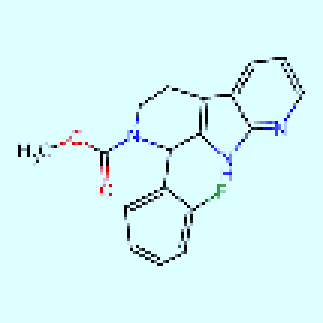 COC(=O)N1CCc2c([nH]c3ncccc23)C1c1ccccc1F